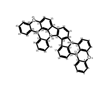 c1ccc2c(c1)Oc1cccc3c1B2c1cccc2c4c(ccc5c6ccc7c8c6n(c54)-c4ccccc4B8c4ccccc4O7)n-3c12